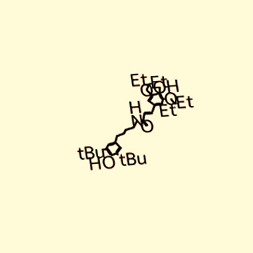 CCC(CC)Oc1cc(C=CC(=O)NCCCCc2cc(C(C)(C)C)c(O)c(C(C)(C)C)c2)cc(OC(CC)CC)c1O